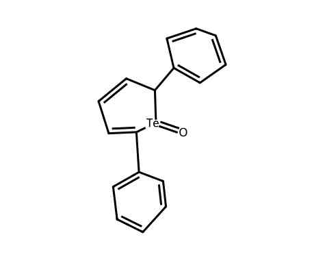 O=[Te]1C(c2ccccc2)=CC=CC1c1ccccc1